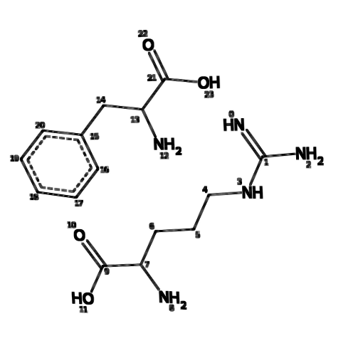 N=C(N)NCCCC(N)C(=O)O.NC(Cc1ccccc1)C(=O)O